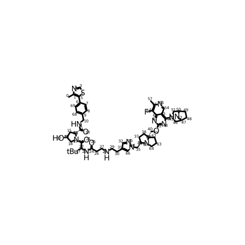 Cc1ncsc1-c1ccc(CNC(=O)[C@H]2C[C@H](O)CN2C(=O)C(NC(=O)CCNCCc2cnn(C[C@H]3CC[C@@]4(COc5nc(N6CC7CCC(C6)N7)c6cnc(C)c(F)c6n5)CCCN34)c2)C(C)(C)C)cc1